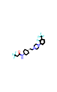 O=C(CC(F)(F)F)N[C@H]1CC[C@H](CCN2CCN(c3cccc(C(F)(F)F)c3F)CC2)CC1